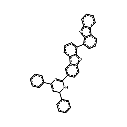 c1ccc(C2=NC(c3ccccc3)NC(c3ccc4oc5c(-c6cccc7c6sc6ccccc67)cccc5c4c3)=N2)cc1